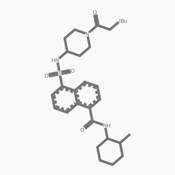 CC1CCCCC1NC(=O)c1cccc2c(S(=O)(=O)NC3CCN(C(=O)CC(C)(C)C)CC3)cccc12